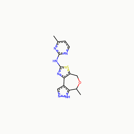 Cc1ccnc(Nc2nc3c(s2)COC(C)c2[nH]ncc2-3)n1